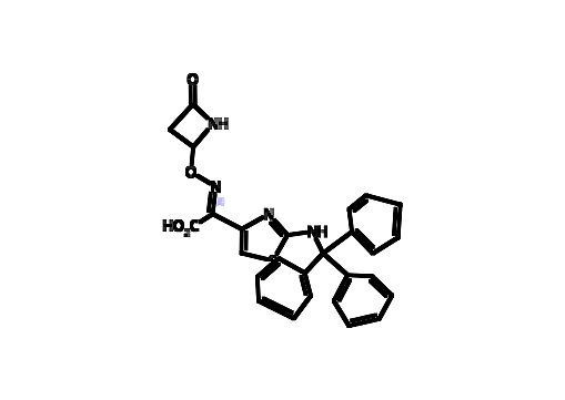 O=C1CC(O/N=C(\C(=O)O)c2csc(NC(c3ccccc3)(c3ccccc3)c3ccccc3)n2)N1